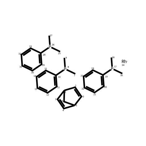 C1=CC2C=CC1C2.CP(C)c1ccccc1.CP(C)c1ccccc1.CP(C)c1ccccc1.[Rh]